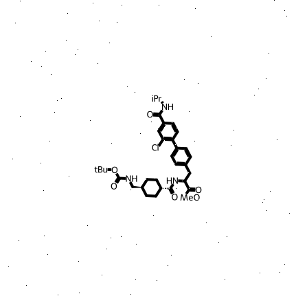 COC(=O)C(Cc1ccc(-c2ccc(C(=O)NC(C)C)cc2Cl)cc1)NC(=O)[C@H]1CC[C@H](CNC(=O)OC(C)(C)C)CC1